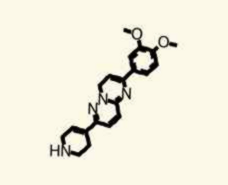 COc1ccc(C2=CCN3N=C(C4=CCNCC4)C=CC3=N2)cc1OC